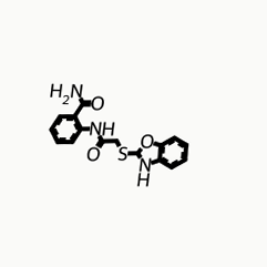 NC(=O)c1ccccc1NC(=O)CSC1Nc2ccccc2O1